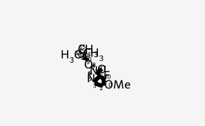 COc1ccc2ncn(COCC[Si](C)(C)C)c(=O)c2c1F